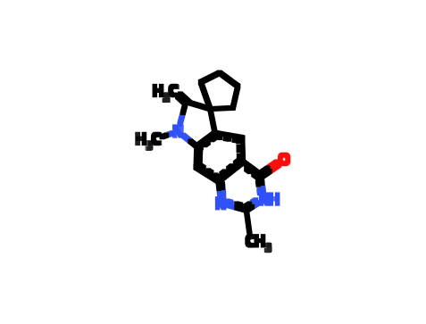 C=C1N(C)c2cc3nc(C)[nH]c(=O)c3cc2C12CCCC2